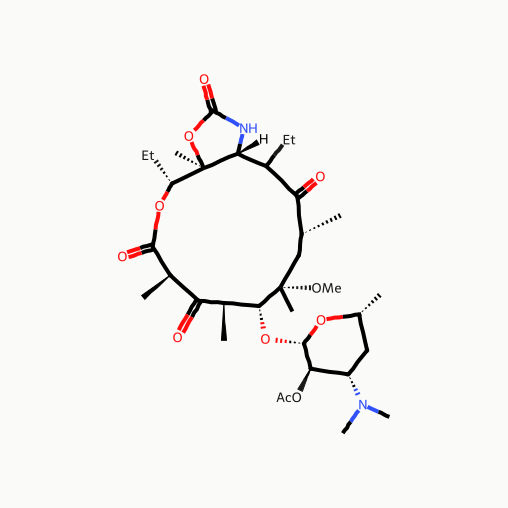 CCC1C(=O)[C@H](C)C[C@](C)(OC)[C@H](O[C@@H]2O[C@H](C)C[C@H](N(C)C)[C@H]2OC(C)=O)[C@@H](C)C(=O)[C@@H](C)C(=O)O[C@H](CC)[C@@]2(C)OC(=O)N[C@H]12